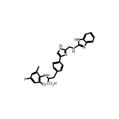 CCc1cc(F)cc(C)c1NC(Cc1ccc(-c2c[nH]c(CNc3nc4ccccc4[nH]3)n2)cc1)C(=O)O